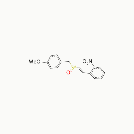 COc1ccc(C[S+]([O-])C=Cc2ccccc2[N+](=O)[O-])cc1